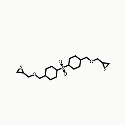 O=S(=O)(C1CCC(COCC2CS2)CC1)C1CCC(COCC2CS2)CC1